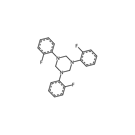 Fc1ccccc1N1CN(c2ccccc2F)CN(c2ccccc2F)C1